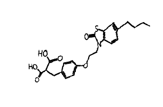 CCCCc1ccc2c(c1)sc(=O)n2CCOc1ccc(CC(C(=O)O)C(=O)O)cc1